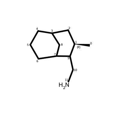 C[C@@H]1CC2CCCC(C2)C1CN